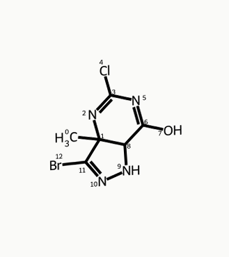 CC12N=C(Cl)N=C(O)C1NN=C2Br